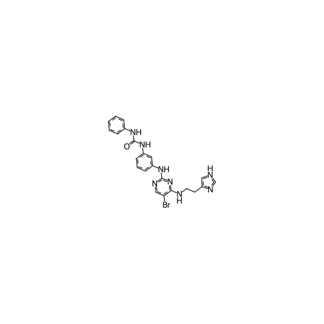 O=C(Nc1ccccc1)Nc1cccc(Nc2ncc(Br)c(NCCc3c[nH]cn3)n2)c1